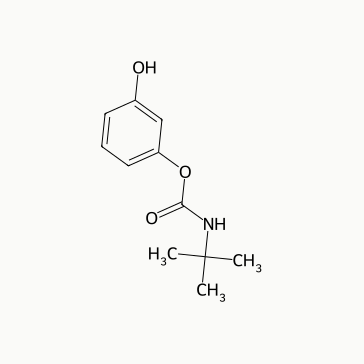 CC(C)(C)NC(=O)Oc1cccc(O)c1